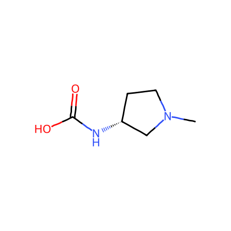 CN1CC[C@@H](NC(=O)O)C1